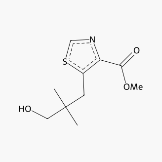 COC(=O)c1ncsc1CC(C)(C)CO